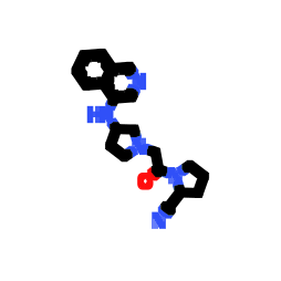 N#CC1CCCN1C(=O)CN1CCC(Nc2cncc3ccccc23)C1